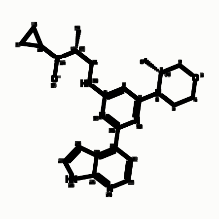 C[C@@H]1COCCN1c1cc(NC[C@@H](C)[S+]([O-])C2CC2)nc(-c2ccnc3[nH]ccc23)n1